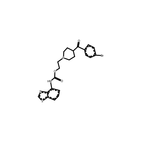 O=C(Nc1cccc2scnc12)OCCN1CCC(C(=O)c2ccc(Br)cc2)CC1